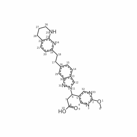 COc1ncc(C(CC(=O)O)n2cc3ccc(CCc4ccc5c(n4)NCCC5)cc3n2)cn1